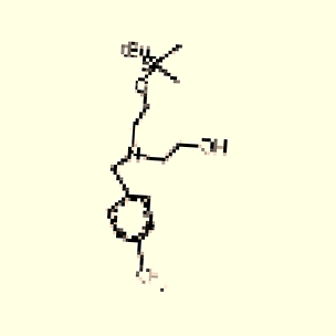 CC(C)(C)[Si](C)(C)OCCN(CCO)Cc1ccc(C(F)(F)F)cc1